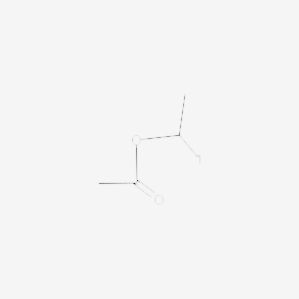 CC(=O)OC(C)I